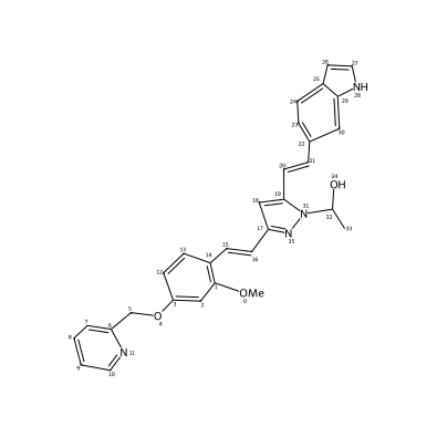 COc1cc(OCc2ccccn2)ccc1C=Cc1cc(C=Cc2ccc3cc[nH]c3c2)n(C(C)O)n1